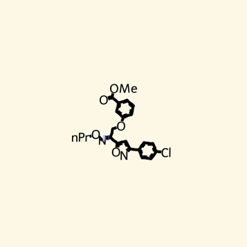 CCCO/N=C(\COc1cccc(C(=O)OC)c1)c1cc(-c2ccc(Cl)cc2)no1